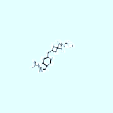 CC(C)n1ncc2ccc(CC3CC4(C3)CN(C=O)C4)cc21